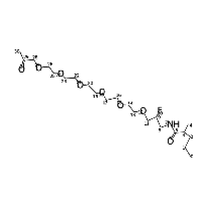 CCCC(C)C(=O)NCC(F)COCCOCCOCCOCCOCCOCC(C)=O